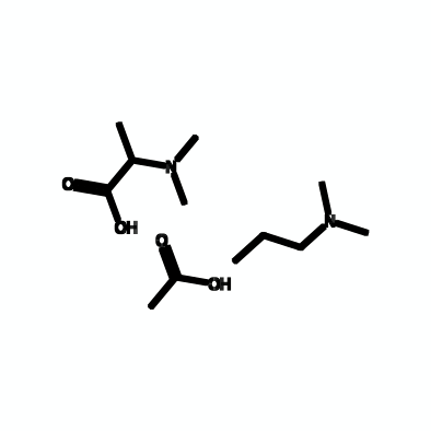 CC(=O)O.CC(C(=O)O)N(C)C.CCCN(C)C